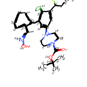 CCC(F)c1cc(N2CCN(C(=O)OC(C)(C)C)CC2)cc(-c2ccccc2C=NO)c1Cl